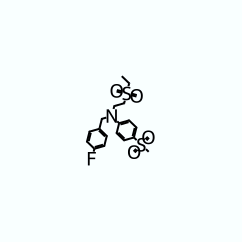 CCS(=O)(=O)CCN(Cc1ccc(F)cc1)c1ccc(S(C)(=O)=O)cc1